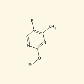 CC(C)Oc1ncc(F)c(N)n1